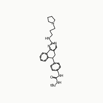 CC(C)(C)NC(=O)Nc1ccc(C2Cc3cnc(NCCCN4CCCC4)nc3-c3ccccc32)cc1